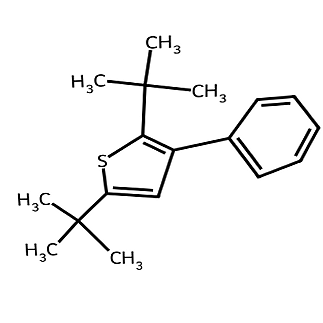 CC(C)(C)c1cc(-c2ccccc2)c(C(C)(C)C)s1